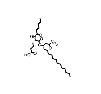 C/C=C/C=C/C(=O)N[C@@H](CCCC(=O)O)C(=O)O[C@@H](CCCCCCCCCCCCC)CC(N)=O